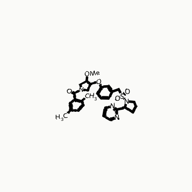 COC1CN(C(=O)c2cc(C)ccc2C)CC1Oc1cccc(CS(=O)(=O)N2CCCC2c2ncccn2)c1